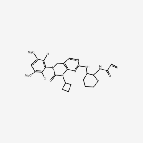 C=CC(=O)NC1CCCCC1Nc1ncc2c(n1)N(C1CCC1)C(=O)N(c1c(Cl)c(OC)cc(OC)c1Cl)C2